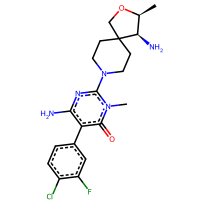 C[C@@H]1OCC2(CCN(c3nc(N)c(-c4ccc(Cl)c(F)c4)c(=O)n3C)CC2)[C@@H]1N